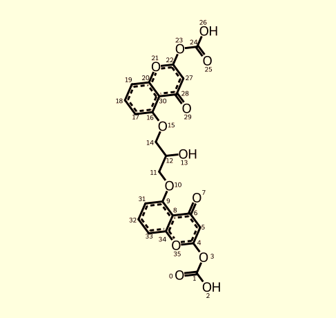 O=C(O)Oc1cc(=O)c2c(OCC(O)COc3cccc4oc(OC(=O)O)cc(=O)c34)cccc2o1